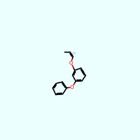 C/C=C\Oc1cccc(Oc2ccccc2)c1